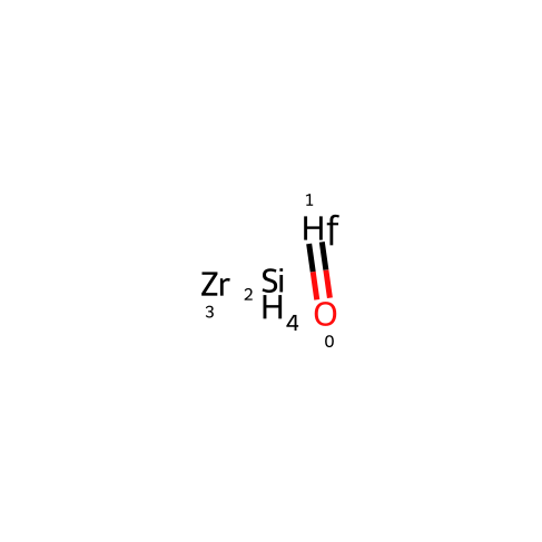 [O]=[Hf].[SiH4].[Zr]